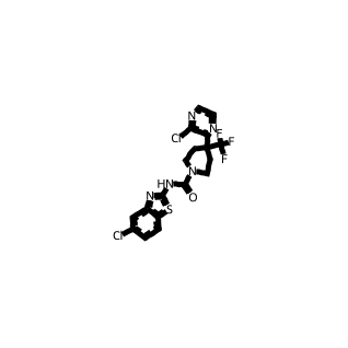 O=C(Nc1nc2cc(Cl)ccc2s1)N1CCC(c2nccnc2Cl)(C(F)(F)F)CC1